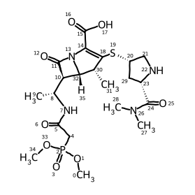 COP(=O)(CC(=O)N[C@H](C)[C@H]1C(=O)N2C(C(=O)O)=C(S[C@@H]3CN[C@H](C(=O)N(C)C)C3)[C@H](C)[C@H]12)OC